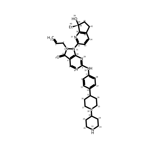 C=CCn1c(=O)c2cnc(Nc3ccc(C4CCN(C5CCNCC5)CC4)cc3)nc2n1-c1ccc2c(n1)[C@@](O)(CC)CC2